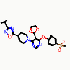 CC(C)c1noc(C2CCN(c3ncnc(Oc4ccc(S(C)(=O)=O)cc4)c3C3OCCO3)CC2)n1